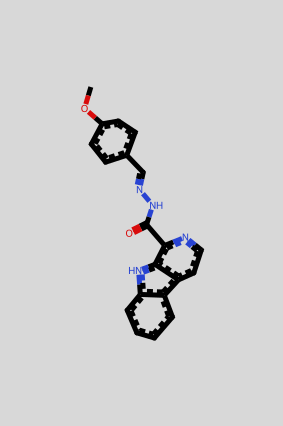 COc1ccc(C=NNC(=O)c2nccc3c2[nH]c2ccccc23)cc1